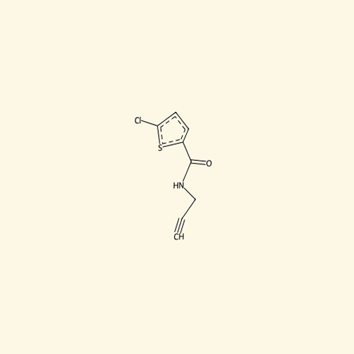 C#CCNC(=O)c1ccc(Cl)s1